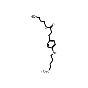 CCCCCCCCCCCCCCNc1ccc(CCC(=O)OCCCO)cc1